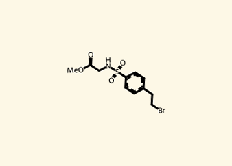 COC(=O)CNS(=O)(=O)c1ccc(CCBr)cc1